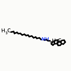 CCCCCCCCCCCCCCCCCCNCCCC[C@H]1CCC2C3CCC4CCCC[C@]4(C)C3CCC21